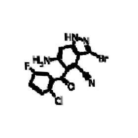 N#Cc1c(C(=O)c2cc(F)ccc2Cl)c(N)cc2[nH]nc(Br)c12